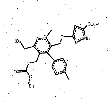 Cc1ccc(-c2c(COc3cc(C(=O)O)[nH]n3)c(C)nc(CC(C)(C)C)c2CNC(=O)OC(C)(C)C)cc1